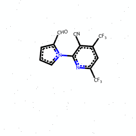 N#Cc1c(C(F)(F)F)cc(C(F)(F)F)nc1-n1cccc1C=O